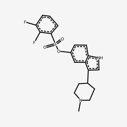 CN1CCC(c2c[nH]c3ccc(OS(=O)(=O)c4cccc(F)c4F)cc23)CC1